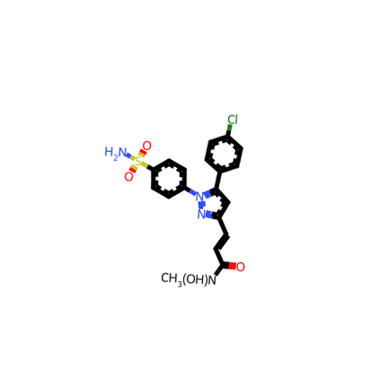 CN(O)C(=O)C=Cc1cc(-c2ccc(Cl)cc2)n(-c2ccc(S(N)(=O)=O)cc2)n1